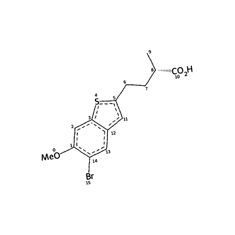 COc1cc2sc(CC[C@H](C)C(=O)O)cc2cc1Br